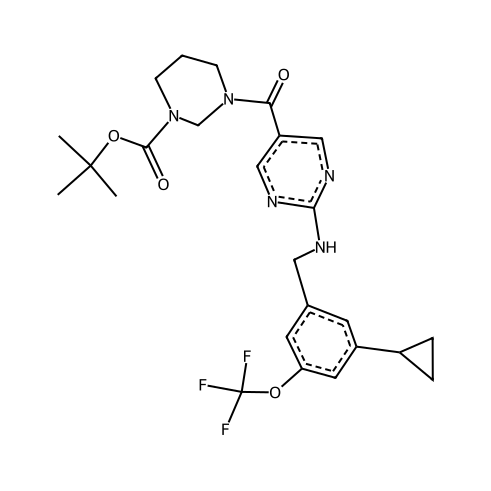 CC(C)(C)OC(=O)N1CCCN(C(=O)c2cnc(NCc3cc(OC(F)(F)F)cc(C4CC4)c3)nc2)C1